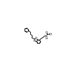 CCC(=O)NCCCc1cccc2nc(CCCCc3ccccc3)oc12